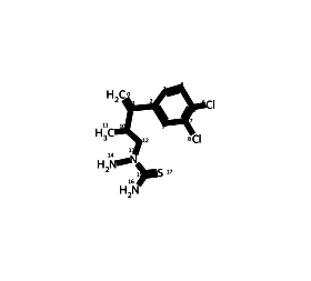 C=C(c1ccc(Cl)c(Cl)c1)C(C)CN(N)C(N)=S